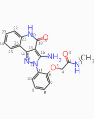 CNC(=O)COc1ccccc1-n1nc2c(c1N)c(=O)[nH]c1ccccc12